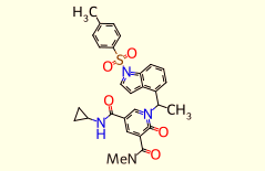 CNC(=O)c1cc(C(=O)NC2CC2)cn(C(C)c2cccc3c2ccn3S(=O)(=O)c2ccc(C)cc2)c1=O